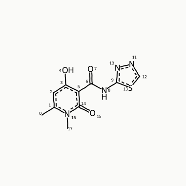 Cc1cc(O)c(C(=O)Nc2nncs2)c(=O)n1C